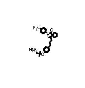 CC(C)(CN=[N+]=[N-])Oc1ccc(CCCC2=NN(c3ccc(C(F)(F)F)cc3)C(=O)C23CCCC3)cc1